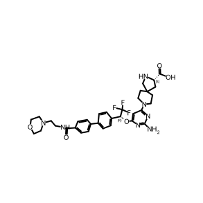 Nc1nc(O[C@H](c2ccc(-c3ccc(C(=O)NCCN4CCOCC4)cc3)cc2)C(F)(F)F)cc(N2CCC3(CC2)CN[C@H](C(=O)O)C3)n1